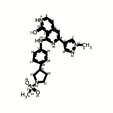 Cn1cc(-c2cc3cc[nH]c(=O)c3c(Nc3ccc(C4CCN(S(C)(=O)=O)C4)cc3)n2)cn1